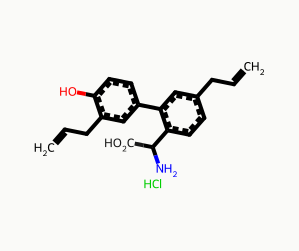 C=CCc1ccc(C(N)C(=O)O)c(-c2ccc(O)c(CC=C)c2)c1.Cl